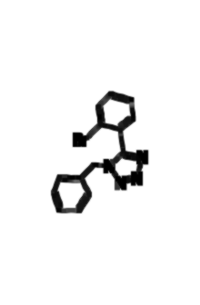 Brc1ccccc1-c1nnnn1Cc1ccccc1